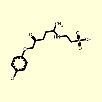 CC(CCC(=O)COc1ccc(Cl)cc1)NCCS(=O)(=O)O